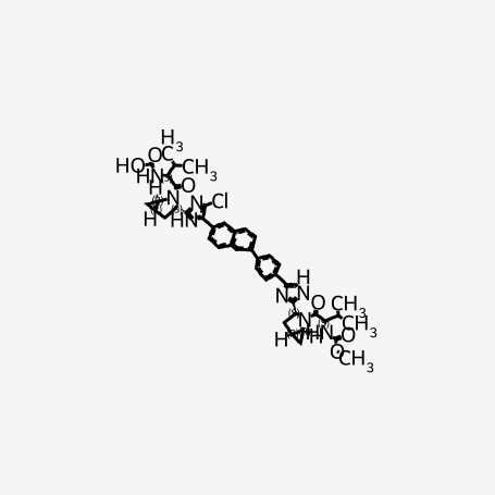 COC(=O)N[C@H](C(=O)N1[C@@H]2C[C@@H]2C[C@H]1c1nc(-c2ccc(-c3ccc4cc(-c5[nH]c([C@@H]6C[C@H]7C[C@H]7N6C(=O)[C@@H](NC(=O)O)C(C)C)nc5Cl)ccc4c3)cc2)c[nH]1)C(C)C